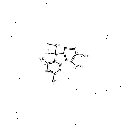 COc1cc(C2(c3cnc(N)nc3N)OCO2)ccc1C